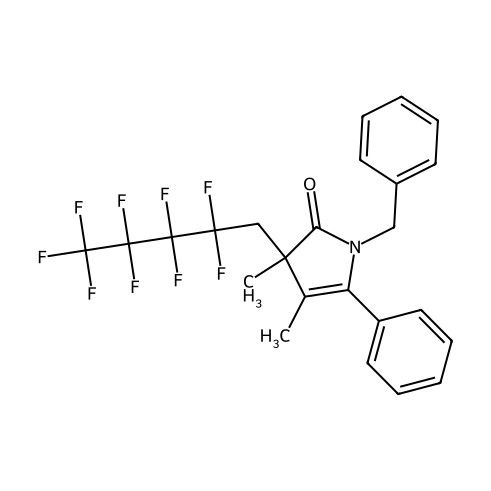 CC1=C(c2ccccc2)N(Cc2ccccc2)C(=O)C1(C)CC(F)(F)C(F)(F)C(F)(F)C(F)(F)F